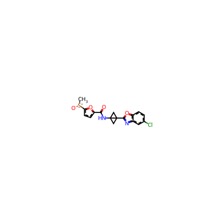 C[S+]([O-])c1ccc(C(=O)NC23CC2(c2nc4cc(Cl)ccc4o2)C3)o1